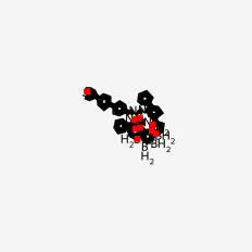 Bc1c(B)c(B)c(-c2cc(-c3ccccc3)ccc2-n2c3ccccc3c3ccc4c5ccccc5n(-c5nc(-c6ccccc6)nc(-c6ccc(-c7ccc(-c8ccccc8)cc7)cc6)n5)c4c32)c(B)c1B